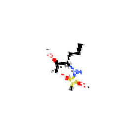 C=CC[C@@H](NS(C)(=O)=O)C(C)=O